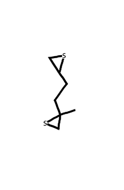 CC1(CCC2CS2)CS1